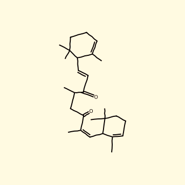 CC(=CC1C(C)=CCCC1(C)C)C(=O)CC(C)C(=O)/C=C/C1C(C)=CCCC1(C)C